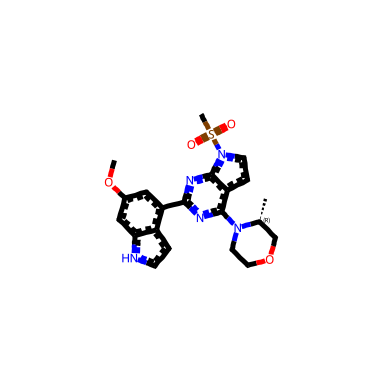 COc1cc(-c2nc(N3CCOC[C@H]3C)c3ccn(S(C)(=O)=O)c3n2)c2cc[nH]c2c1